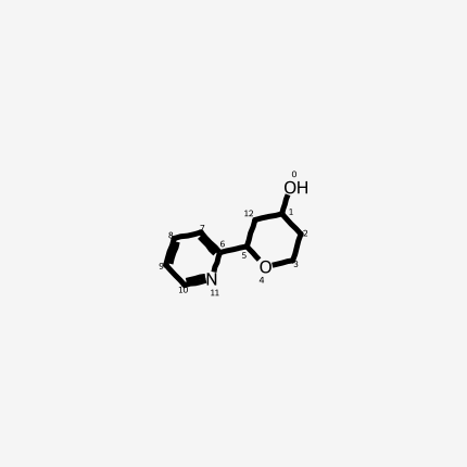 OC1CCOC(c2ccccn2)C1